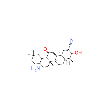 C[C@@H]1C(O)C(C#N)=C[C@]2(C)C3=CC(=O)C4C5CC(C)(C)CC[C@]5(N)CC[C@@]4(C)[C@]3(C)CC[C@@H]12